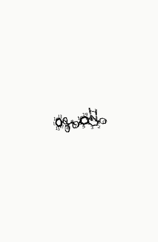 O=C1CCc2cc(OCC(=O)Oc3ccccc3)ccc2N1